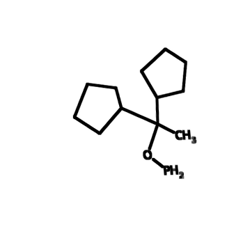 CC(OP)(C1CCCC1)C1CCCC1